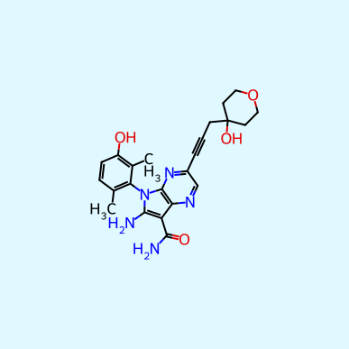 Cc1ccc(O)c(C)c1-n1c(N)c(C(N)=O)c2ncc(C#CCC3(O)CCOCC3)nc21